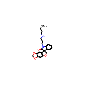 COCCCNCCCN1C(=O)C2(COc3cc4c(cc32)OCO4)c2ccccc21